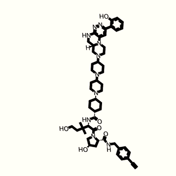 C#Cc1ccc(CNC(=O)[C@@H]2C[C@@H](O)CN2C(=O)[C@@H](NC(=O)[C@H]2CC[C@@H](N3CCC(N4CCC(N5CCN6c7cc(-c8ccccc8O)nnc7NC[C@H]6C5)CC4)CC3)CC2)C(C)(C)CCO)cc1